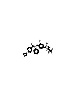 O=C(C1CCN(C2COC2)CC1)N(Cc1ccc(C2NN=C(C(F)(F)F)O2)cc1F)c1ccccc1